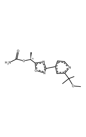 COC(C)(C)c1cc(-c2noc([C@H](C)OC(N)=O)n2)ccn1